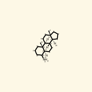 C[C@@]12CCC[C@H]1[C@@H]1CC[C@H]3C(N)CCC[C@]3(C)[C@H]1CC2